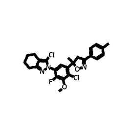 COc1c(F)c(-n2nc3c(c2Cl)CCCC3)cc(C2(C)CC(c3ccc(C)cc3)=NO2)c1Cl